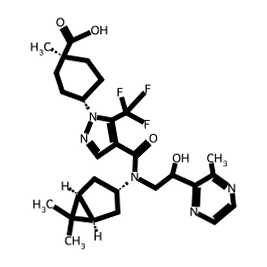 Cc1nccnc1C(O)CN(C(=O)c1cnn([C@H]2CC[C@](C)(C(=O)O)CC2)c1C(F)(F)F)[C@@H]1C[C@@H]2[C@H](C1)C2(C)C